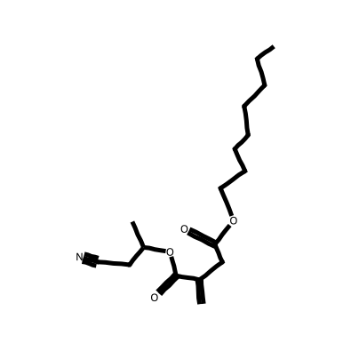 C=C(CC(=O)OCCCCCCCC)C(=O)OC(C)CC#N